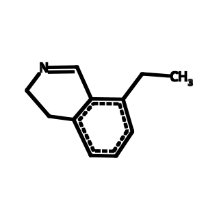 CCc1cccc2c1C=NCC2